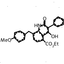 CCOC(=O)c1ccc(Cc2ccc(OC)cc2)c2[nH]c(=O)c(-c3ccccc3)c(O)c12